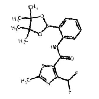 Cc1nc(C(F)F)c(C(=O)Nc2ccccc2B2OC(C)(C)C(C)(C)O2)s1